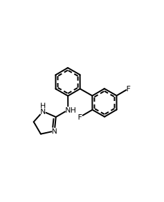 Fc1ccc(F)c(-c2ccccc2NC2=NCCN2)c1